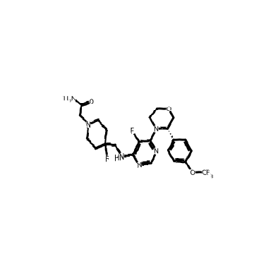 NC(=O)CN1CCC(F)(CNc2ncnc(N3CCOC[C@@H]3c3ccc(OC(F)(F)F)cc3)c2F)CC1